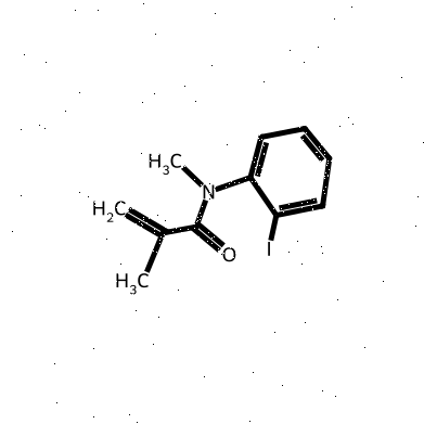 C=C(C)C(=O)N(C)c1ccccc1I